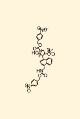 C[C@]1(O)C(c2ccc(CNC(=O)OCc3ccc([N+](=O)[O-])cc3)c3ccccc23)[C@@H](OS(C)(=O)=O)CN1C(=O)OCc1ccc([N+](=O)[O-])cc1